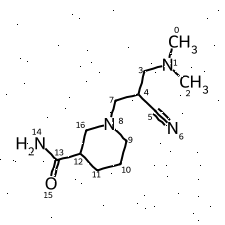 CN(C)CC(C#N)CN1CCCC(C(N)=O)C1